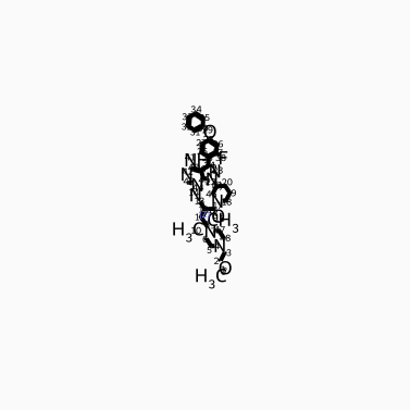 COCCN1CCN(C(C)(C)/C=C(/C#N)C(=O)N2CCC[C@H](n3nc(-c4ccc(Oc5ccccc5)cc4F)c4c(N)ncnc43)C2)CC1